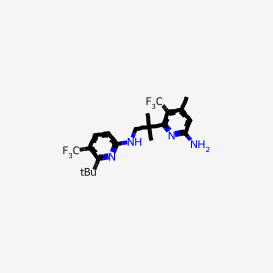 Cc1cc(N)nc(C(C)(C)CNc2ccc(C(F)(F)F)c(C(C)(C)C)n2)c1C(F)(F)F